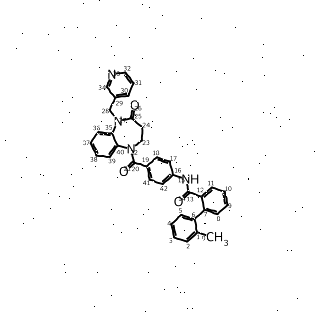 Cc1ccccc1-c1ccccc1C(=O)Nc1ccc(C(=O)N2CCC(=O)N(Cc3cccnc3)c3ccccc32)cc1